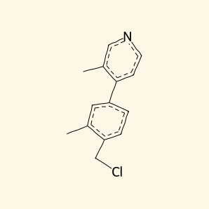 Cc1cc(-c2ccncc2C)ccc1CCl